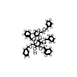 OC1C(COCc2ccccc2)OC(OC2C(OCc3ccccc3)C=COC2COCc2ccccc2)C(OCc2ccccc2)C1OCc1ccccc1